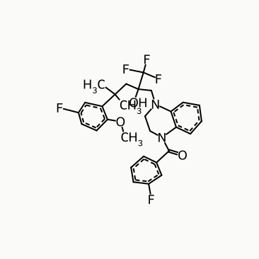 COc1ccc(F)cc1C(C)(C)CC(O)(CN1CCN(C(=O)c2cccc(F)c2)c2ccccc21)C(F)(F)F